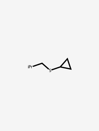 CC(C)CSC1CC1